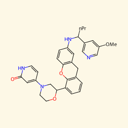 CCCC(Nc1ccc2c(c1)Cc1cccc(C3CN(c4cc[nH]c(=O)c4)CCO3)c1O2)c1cncc(OC)c1